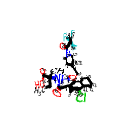 CCC(C)(NC(=O)c1cc(Cl)c2ccccc2c1OCC1CCN(C(=O)C(F)(F)F)CC1)C(=O)O